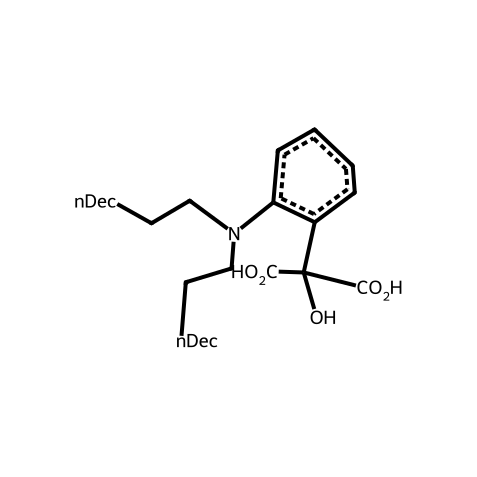 CCCCCCCCCCCCN(CCCCCCCCCCCC)c1ccccc1C(O)(C(=O)O)C(=O)O